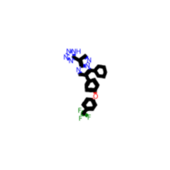 FC(F)(F)c1ccc(Oc2ccc(-c3cnc4c(-c5nnn[nH]5)cnn4c3C3CCCCC3)cc2)cc1